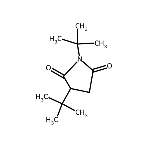 CC(C)(C)C1CC(=O)N(C(C)(C)C)C1=O